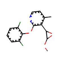 CCOC1OC1c1c(C=O)ccnc1Oc1c(F)cccc1Cl